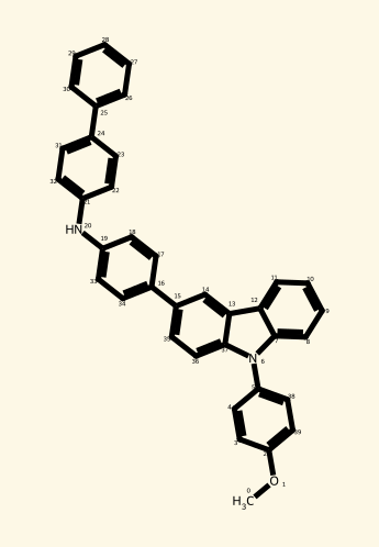 COc1ccc(-n2c3ccccc3c3cc(-c4ccc(Nc5ccc(-c6ccccc6)cc5)cc4)ccc32)cc1